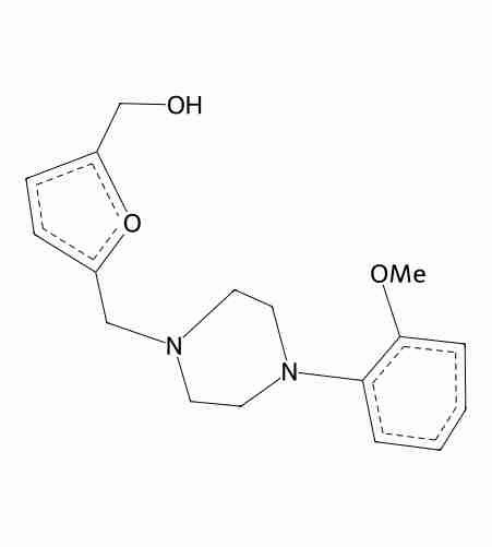 COc1ccccc1N1CCN(Cc2ccc(CO)o2)CC1